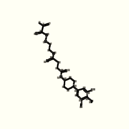 C=C(C)C(=O)OOCCOC(=O)CCC(=O)OC1CCC(c2cc(F)c(F)c(F)c2)CC1